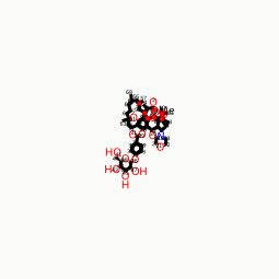 COC(=O)/C(C)=C\CC12OC(C)(C)C3CC(C1=O)C(N1CCOCC1)C1C(=O)c4c(OC(=O)c5ccc(O[C@@H]6O[C@H](CO)[C@@H](O)[C@H](O)[C@H]6O)cc5)c5c(c(CC=C(C)C)c4OC132)OC(C)(CCC=C(C)C)C=C5